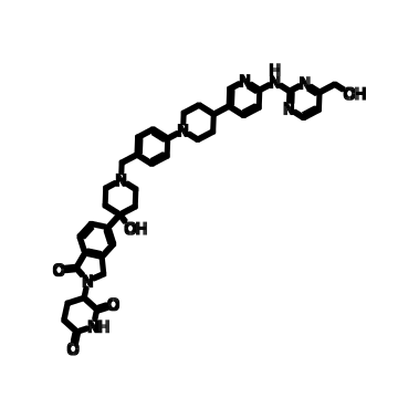 O=C1CCC(N2Cc3cc(C4(O)CCN(Cc5ccc(N6CCC(c7ccc(Nc8nccc(CO)n8)nc7)CC6)cc5)CC4)ccc3C2=O)C(=O)N1